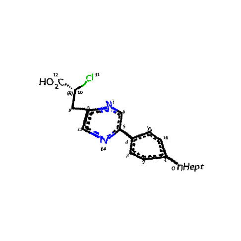 CCCCCCCc1ccc(-c2cnc(C[C@@H](Cl)C(=O)O)cn2)cc1